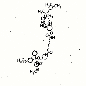 COc1ccc(C(OCC2(CO)CCN(C(=O)CCCCCNC(=O)OC3CC[C@@]4(C)C(=CC[C@H]5[C@@H]6CC[C@H]([C@H](C)CCCC(C)C)[C@@]6(C)CC[C@@H]54)C3)CC2)(c2ccccc2)c2ccc(OC)cc2)cc1